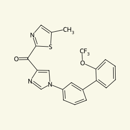 Cc1cnc(C(=O)c2cn(-c3cccc(-c4ccccc4OC(F)(F)F)c3)cn2)s1